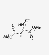 COC(=O)C[C@@H](NCl)C(=O)OC